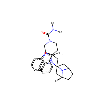 CCN(CC)C(=O)N1CCC(CCN2C3CC[C@@H]2CC(n2c(C)nc4ccccc42)C3)(c2ccccc2)CC1